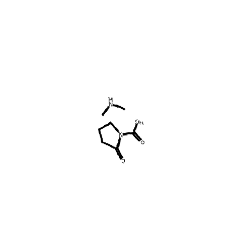 CNC.O=C(O)N1CCCC1=O